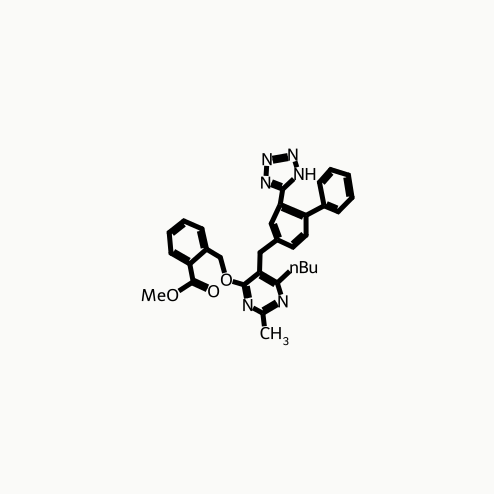 CCCCc1nc(C)nc(OCc2ccccc2C(=O)OC)c1Cc1ccc(-c2ccccc2)c(-c2nnn[nH]2)c1